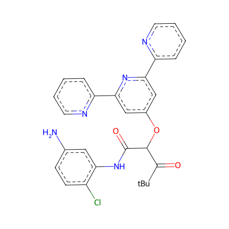 CC(C)(C)C(=O)C(Oc1cc(-c2ccccn2)nc(-c2ccccn2)c1)C(=O)Nc1cc(N)ccc1Cl